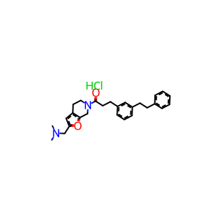 CN(C)Cc1cc2c(o1)CN(C(=O)CCc1cccc(CCc3ccccc3)c1)CC2.Cl